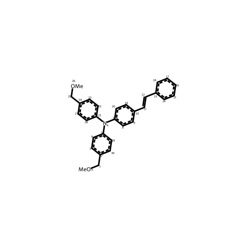 COCc1ccc(N(c2ccc(/C=C/c3ccccc3)cc2)c2ccc(COC)cc2)cc1